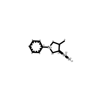 CC1CN(c2ccccc2)CC1=[N+]=[N-]